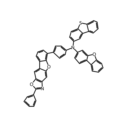 c1ccc(-c2nc3cc4oc5c(-c6ccc(N(c7ccc8c(c7)oc7ccccc78)c7ccc8sc9ccccc9c8c7)cc6)cccc5c4cc3o2)cc1